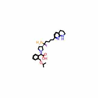 CC(C)OCc1ccccc1C(C(=O)O)N1CC[C@@H](C(P)(I)CCCCc2ccc3c(n2)NCCC3)C1